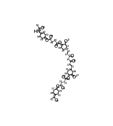 COc1cc(/C=C/C(=O)CC(=O)/C=C/c2ccc(OC(=O)CCC(=O)Oc3ccc(C(C)=O)cc3)c(OC)c2)ccc1OC(=O)CCC(=O)Oc1ccc(NC(C)=O)cc1